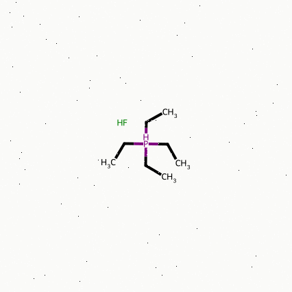 CC[PH](CC)(CC)CC.F